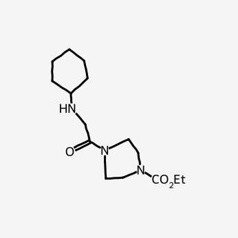 CCOC(=O)N1CCN(C(=O)CNC2CCCCC2)CC1